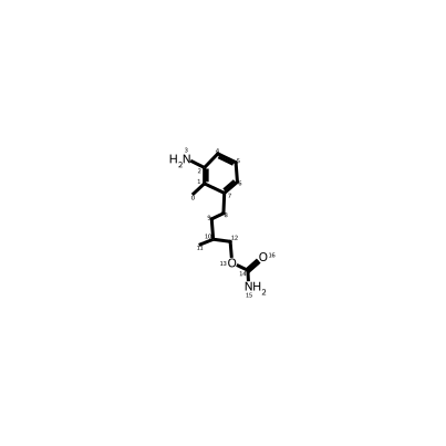 Cc1c(N)cccc1CCC(C)COC(N)=O